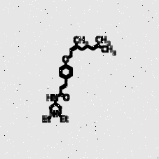 CCN1CC(NC(=O)C=Cc2ccc(OCC=C(C)CCC=C(C)C)cc2)CN1CC